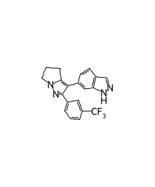 FC(F)(F)c1cccc(-c2nn3c(c2-c2ccc4cn[nH]c4c2)CCC3)c1